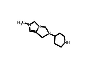 CN1C=C2CN(C3CCNCC3)CN2C1